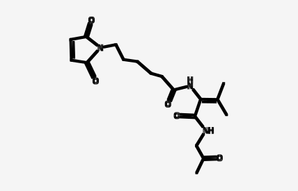 CC(=O)CNC(=O)C(NC(=O)CCCCCN1C(=O)C=CC1=O)=C(C)C